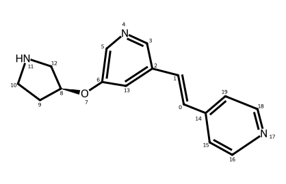 C(=C\c1cncc(O[C@H]2CCNC2)c1)/c1ccncc1